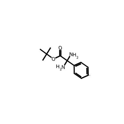 CC(C)(C)OC(=O)C(N)(N)c1cc[c]cc1